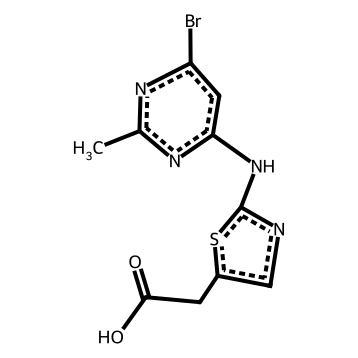 Cc1nc(Br)cc(Nc2ncc(CC(=O)O)s2)n1